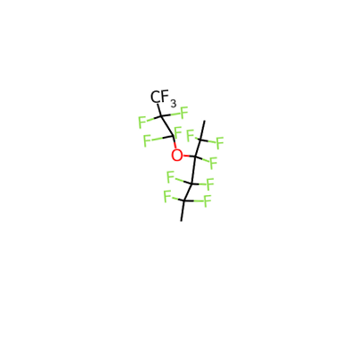 CC(F)(F)C(F)(F)C(F)(OC(F)(F)C(F)(F)C(F)(F)F)C(C)(F)F